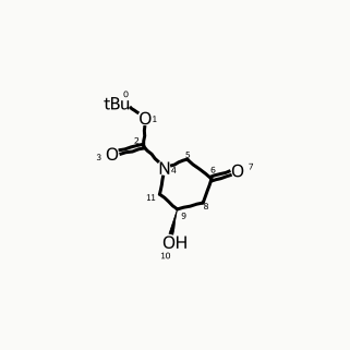 CC(C)(C)OC(=O)N1CC(=O)C[C@@H](O)C1